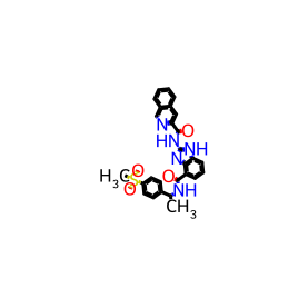 CC(NC(=O)c1cccc2[nH]c(NC(=O)c3cc4ccccc4cn3)nc12)c1ccc(S(C)(=O)=O)cc1